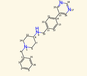 c1ccc(CN2CCC(NCc3ccc(-c4cncnc4)cc3)CC2)cc1